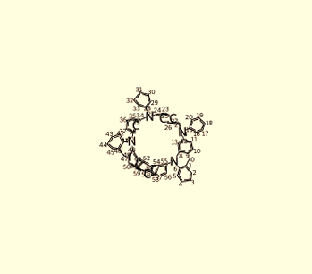 Cc1ccccc1N1c2cccc(c2)N(c2ccccc2)c2ccc(cc2)N(c2ccccc2)c2cccc(c2)N(c2ccccc2C)c2ccc3ccc4c1ccc1ccc2c3c14